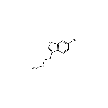 N#Cc1ccc2c(CCOC=O)c[nH]c2c1